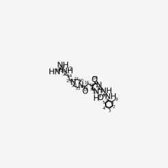 Cc1ccccc1NC(=O)Nc1nc(=O)c(CC(=O)N2CCN(CCCNC(=N)N)CC2)c[nH]1